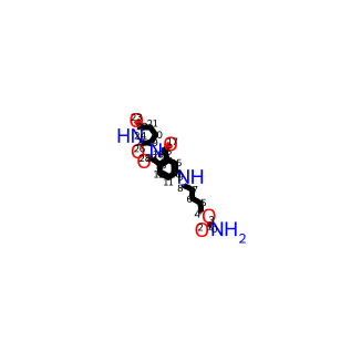 NC(=O)OCCCCCNc1ccc2c(c1)C(=O)N(C1CCC(=O)NC1=O)C2=O